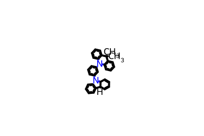 CC1(C)c2ccccc2N(c2cccc(N3c4ccccc4[C@@H]4C=CC=CC43)c2)c2ccccc21